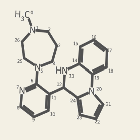 CN1CCCN(c2ncccc2C2Nc3ccccc3-n3cccc32)CC1